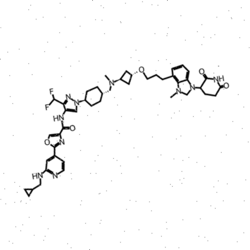 CN1CN(C2CCC(=O)NC2=O)c2cccc(CCCO[C@H]3C[C@H](N(C)C[C@H]4CC[C@H](n5cc(NC(=O)c6coc(-c7ccnc(NCC8CC8)c7)n6)c(C(F)F)n5)CC4)C3)c21